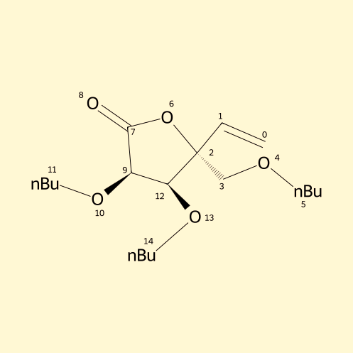 C=C[C@]1(COCCCC)OC(=O)[C@H](OCCCC)[C@@H]1OCCCC